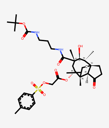 Cc1ccc(S(=O)(=O)OCC(=O)O[C@@H]2C[C@](C)(C(=O)NCCCNC(=O)OC(C)(C)C)[C@@H](O)[C@H](C)[C@]34CCC(=O)[C@H]3[C@@]2(C)C(C)CC4)cc1